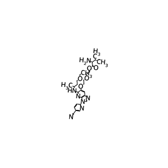 CCOCCC(C)Nc1nc2c(cc1OCCOCCOC(=O)[C@@H](N)C(C)C)ncn2-c1ccc(C#N)cn1